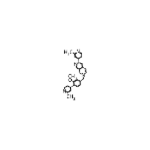 COc1cc(CN2C=Cc3cc(-c4ccnc(C)c4)ncc3C2)ccc1-c1ccnc(C)c1